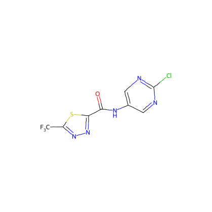 O=C(Nc1cnc(Cl)nc1)c1nnc(C(F)(F)F)s1